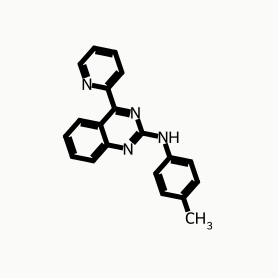 Cc1ccc(Nc2nc(-c3ccccn3)c3ccccc3n2)cc1